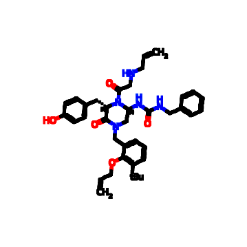 C=CCNCC(=O)N1[C@@H](NC(=O)NCc2ccccc2)CN(Cc2cccc(C(C)(C)C)c2OCC=C)C(=O)[C@@H]1Cc1ccc(O)cc1